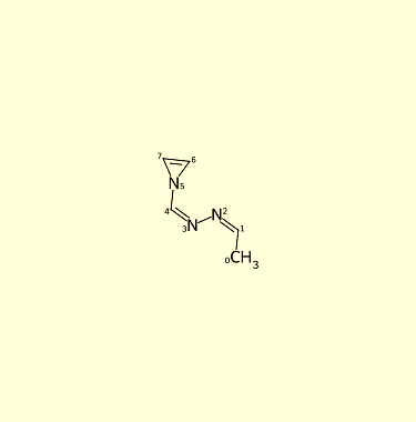 C/C=N\N=C/N1C=C1